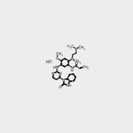 C=CC(=O)Nc1cc(Nc2nccc(-n3c(=O)[nH]c4ccccc43)n2)c(OC)cc1N(C)CCN(C)C.Cl